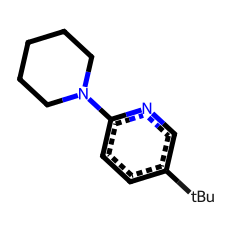 CC(C)(C)c1ccc(N2CCCCC2)nc1